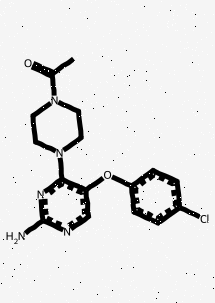 CC(=O)N1CCN(c2nc(N)ncc2Oc2ccc(Cl)cc2)CC1